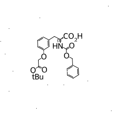 CC(C)(C)OC(=O)COc1cccc(C[C@H](NC(=O)OCc2ccccc2)C(=O)O)c1